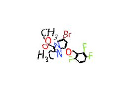 CCOC(=O)c1c(C)nc2c(OCc3c(F)ccc(F)c3F)cc(Br)cn12